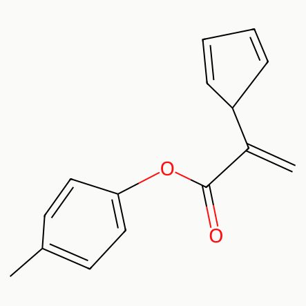 C=C(C(=O)Oc1ccc(C)cc1)C1C=CC=C1